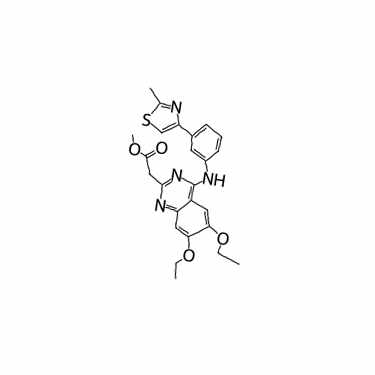 CCOc1cc2nc(CC(=O)OC)nc(Nc3cccc(-c4csc(C)n4)c3)c2cc1OCC